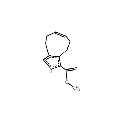 COC(=O)c1[nH]cc2c1CC/C=C\CC2